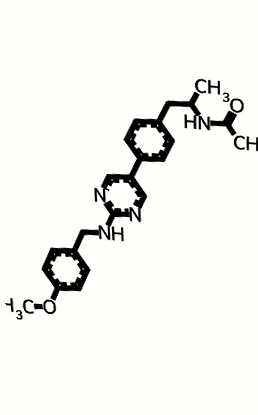 COc1ccc(CNc2ncc(-c3ccc(CC(C)NC(C)=O)cc3)cn2)cc1